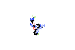 O=C(c1nnc(-c2cnn(C(F)F)c2)o1)N1CCc2[nH]cnc2[C@@H]1c1cc2cccc(F)n2n1